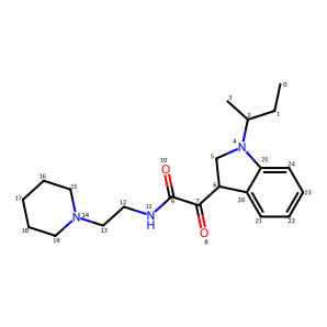 CCC(C)N1CC(C(=O)C(=O)NCCN2CCCCC2)c2ccccc21